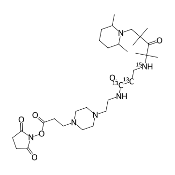 CC1CCCC(C)N1CC(C)(C)C(=O)C(C)(C)[15NH]C[13CH2][13C](=O)NCCN1CCN(CCC(=O)ON2C(=O)CCC2=O)CC1